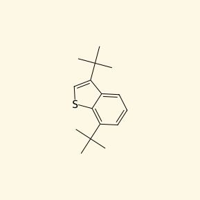 CC(C)(C)c1csc2c(C(C)(C)C)cccc12